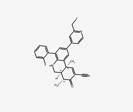 C[C@H]1C(=O)C(C#N)=C[C@]2(C)c3cc(-c4ccnc(CF)c4)cc(-c4ccccc4F)c3NC[C@H]12